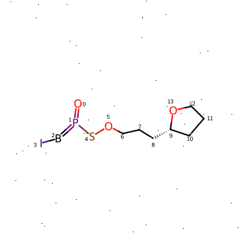 O=P(=BI)SOCCC[C@H]1CCCO1